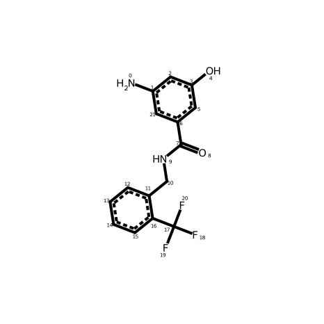 Nc1cc(O)cc(C(=O)NCc2ccccc2C(F)(F)F)c1